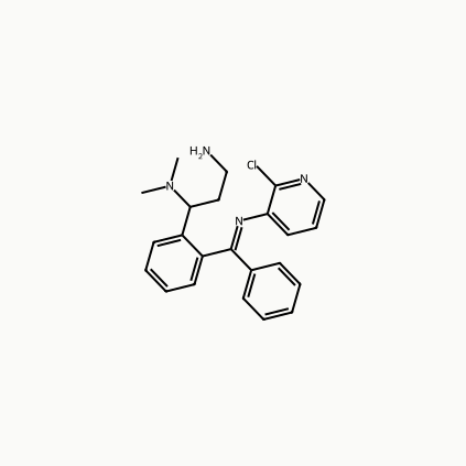 CN(C)C(CCN)c1ccccc1/C(=N/c1cccnc1Cl)c1ccccc1